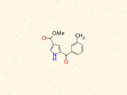 COC(=O)c1c[nH]c(C(=O)c2cccc(C)c2)c1